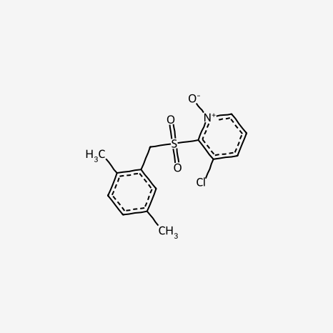 Cc1ccc(C)c(CS(=O)(=O)c2c(Cl)ccc[n+]2[O-])c1